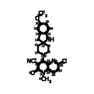 Cn1c(=O)c(C#N)c(N2CCC3(CC2)Cc2cc(OC(F)(F)F)ccc2N3)c2nc(Cl)ccc21